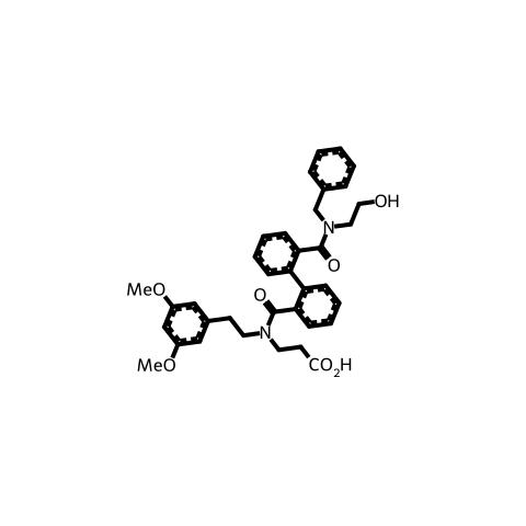 COc1cc(CCN(CCC(=O)O)C(=O)c2ccccc2-c2ccccc2C(=O)N(CCO)Cc2ccccc2)cc(OC)c1